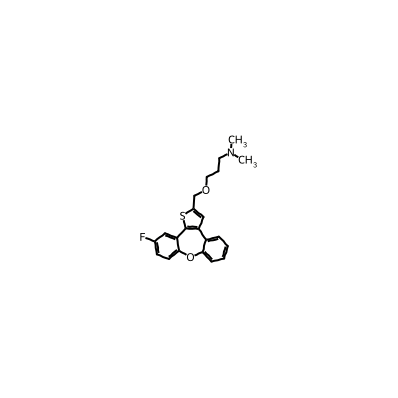 CN(C)CCCOCc1cc2c(s1)-c1cc(F)ccc1Oc1ccccc1-2